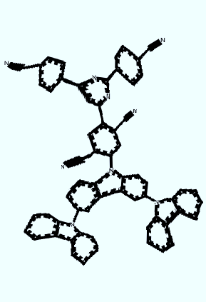 N#Cc1ccc(-c2cc(-c3cc(C#N)c(-n4c5ccc(-n6c7ccccc7c7ccccc76)cc5c5cc(-n6c7ccccc7c7ccccc76)ccc54)cc3C#N)nc(-c3ccc(C#N)cc3)n2)cc1